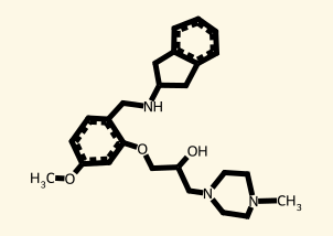 COc1ccc(CNC2Cc3ccccc3C2)c(OCC(O)CN2CCN(C)CC2)c1